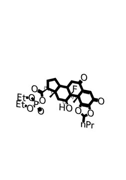 CCCC1OC2=C(O1)[C@@]1(C)C(=CC2=O)C(=O)CC2C3CC[C@H](C(=O)OP(=O)(OCC)OCC)[C@@]3(C)C[C@H](O)[C@@]21F